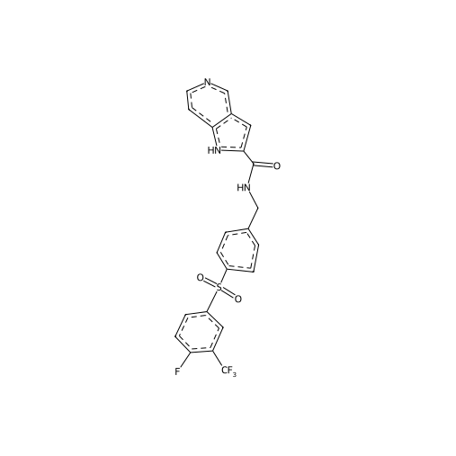 O=C(NCc1ccc(S(=O)(=O)c2ccc(F)c(C(F)(F)F)c2)cc1)c1cc2cnccc2[nH]1